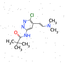 CN(C)/C=C/c1cc(NC(=O)C(C)(C)C)nnc1Cl